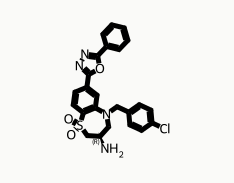 N[C@@H]1CN(Cc2ccc(Cl)cc2)c2cc(-c3nnc(-c4ccccc4)o3)ccc2S(=O)(=O)C1